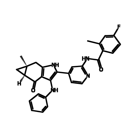 Cc1cc(F)ccc1C(=O)Nc1cc(-c2[nH]c3c(c2Nc2ccccc2)C(=O)[C@H]2C[C@@]2(C)C3)ccn1